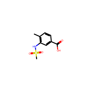 Cc1ccc(C(=O)O)cc1NS(C)(=O)=O